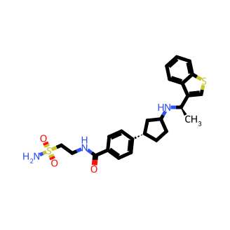 C[C@@H](NC1CC[C@H](c2ccc(C(=O)NCCS(N)(=O)=O)cc2)C1)c1csc2ccccc12